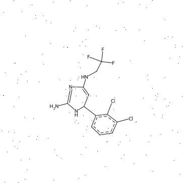 NC1=NC(NCC(F)(F)F)=CC(c2cccc(Cl)c2Cl)N1